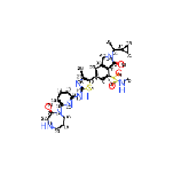 CNS(=O)(=O)c1cc(-c2sc(Nc3cccc(N4CCCNCC4=O)n3)nc2C)cc2c1C(=O)N(C(C)C1CC1)C2